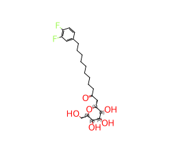 O=C(CCCCCCCCCc1ccc(F)c(F)c1)C[C@@H]1O[C@H](CO)[C@H](O)[C@H](O)[C@H]1O